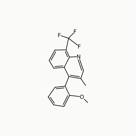 COc1ccccc1-c1c(C)cnc2c(C(F)(F)F)cccc12